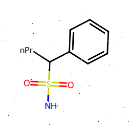 CCCC(c1ccccc1)S([NH])(=O)=O